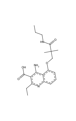 CCCNC(=O)C(C)(C)COc1cccc2nc(CC)c(C(=O)O)c(N)c12